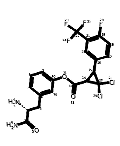 NC(=O)[C@H](N)Cc1cccc(OC(=O)C2C(c3ccc(F)c(C(F)(F)F)c3)C2(Cl)Cl)c1